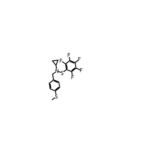 CSc1ccc(CN(Sc2c(F)c(F)c(F)c(F)c2F)C2CC2)cc1